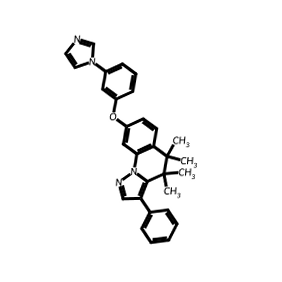 CC1(C)c2ccc(Oc3cccc(-n4ccnc4)c3)cc2-n2ncc(-c3ccccc3)c2C1(C)C